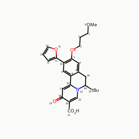 COCCCOc1cc2c(cc1-c1ccco1)-c1cc(=O)c(C(=O)O)cn1C(C(C)(C)C)C2